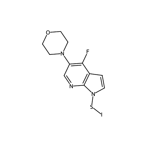 Fc1c(N2CCOCC2)cnc2c1ccn2SI